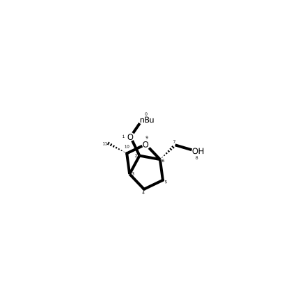 CCCCOC1C2CC[C@]1(CO)O[C@H]2C